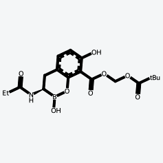 CCC(=O)N[C@H]1Cc2ccc(O)c(C(=O)OCOC(=O)C(C)(C)C)c2OB1O